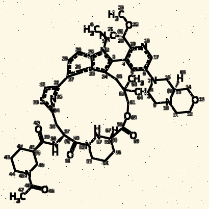 CCn1c(-c2cc(N3CCN4CCOC[C@@H]4C3)cnc2[C@H](C)OC)c2c3cc(ccc31)-c1csc(n1)C[C@H](NC(=O)[C@@H]1CCCN(C(C)=O)C1)C(=O)N1CCC[C@H](N1)C(=O)OCC(C)(C)C2